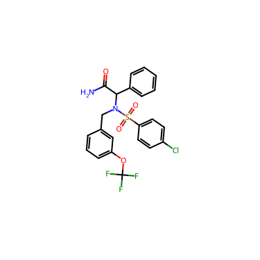 NC(=O)C(c1ccccc1)N(Cc1cccc(OC(F)(F)F)c1)S(=O)(=O)c1ccc(Cl)cc1